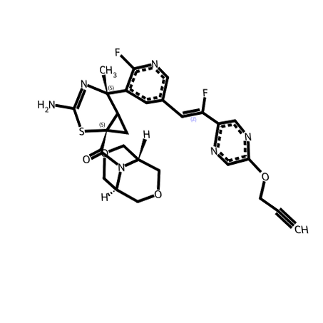 C#CCOc1cnc(/C(F)=C/c2cnc(F)c([C@@]3(C)N=C(N)S[C@@]4(C(=O)N5[C@H]6COC[C@H]5COC6)CC43)c2)cn1